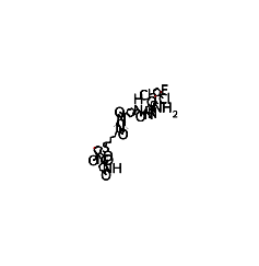 CC(Oc1cc(C(=O)Nc2ccc(C(=O)N3C[C@@H](C)N(C(=O)CCCCCSc4cccc5c4C(=O)N(C4CCC(=O)NC4=O)C5=O)[C@@H](C)C3)cc2)nnc1N)c1c(Cl)ccc(F)c1Cl